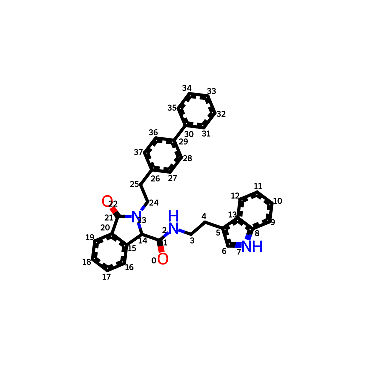 O=C(NCCc1c[nH]c2ccccc12)C1c2ccccc2C(=O)N1CCc1ccc(-c2ccccc2)cc1